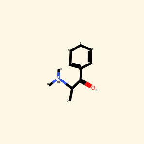 CC(C(=O)C1=CCCC=C1)N(C)C